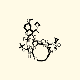 COc1ccc2nc(C(F)(F)F)c(O[C@]3(C)C[C@H]4C(=O)N[C@]5(C(=O)N6C7(CC7)S6(=O)=O)C[C@H]5/C=C\CCCCC[C@H](NC(=O)OC(C)(C)C)C(=O)N4C3)c([C@H](C)N3CCC3)c2c1